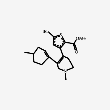 COC(=O)c1sc(C(C)(C)C)cc1C1=C(C2=CCC(C)CC2)CN(C)CC1